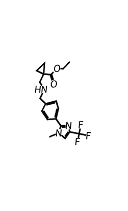 CCOC(=O)C1(CNCc2ccc(-c3nc(C(F)(F)F)cn3C)cc2)CC1